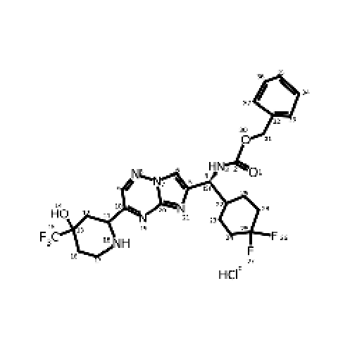 Cl.O=C(N[C@H](c1cn2ncc(C3CC(O)(C(F)(F)F)CCN3)nc2n1)C1CCC(F)(F)CC1)OCc1ccccc1